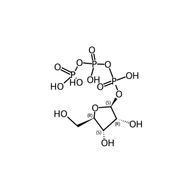 O=P(O)(O)OP(=O)(O)OP(=O)(O)O[C@@H]1O[C@H](CO)[C@@H](O)[C@H]1O